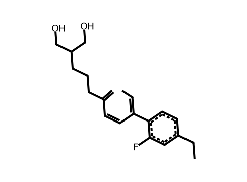 C=C(/C=C\C(=C/C)c1ccc(CC)cc1F)CCCC(CO)CO